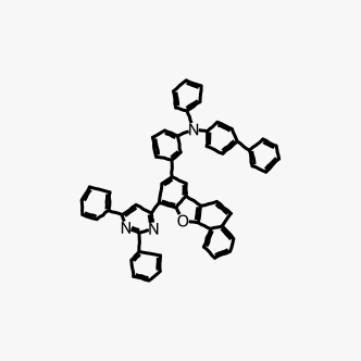 c1ccc(-c2ccc(N(c3ccccc3)c3cccc(-c4cc(-c5cc(-c6ccccc6)nc(-c6ccccc6)n5)c5oc6c7ccccc7ccc6c5c4)c3)cc2)cc1